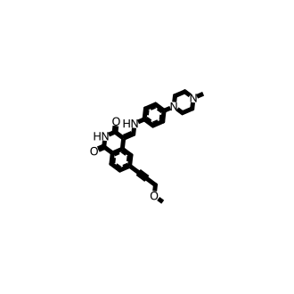 COCC#Cc1ccc2c(c1)C(=CNc1ccc(N3CCN(C)CC3)cc1)C(=O)NC2=O